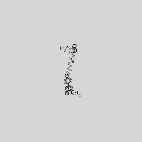 C=C1CC(CCCCCCCCCOc2ccc(C3CC(=C)C(=O)O3)cc2)OC1=O